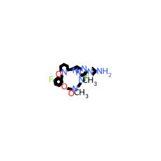 CN1CCN(C)c2c(F)c(N3CC(N)C3)nc3cc(nn23)C2CCCCN2C(=O)c2cc(F)ccc2OCC1=O